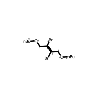 CCCCOCC(Br)=C(Br)COCCCC